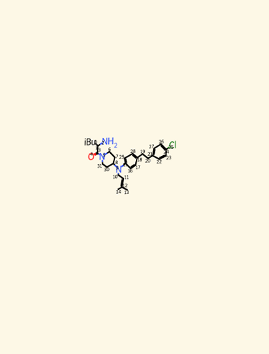 CCC(C)C(N)C(=O)N1CCC(N(CC=C(C)C)c2ccc(CCc3ccc(Cl)cc3)cc2)CC1